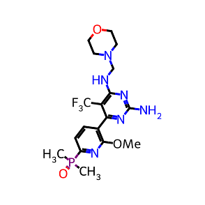 COc1nc(P(C)(C)=O)ccc1-c1nc(N)nc(NCN2CCOCC2)c1C(F)(F)F